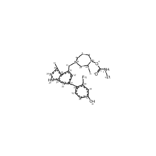 CCNC(=O)ON1CCCN(Cc2cc(-c3ccc(O)cc3F)nc3[nH]nc(C)c23)CC1C